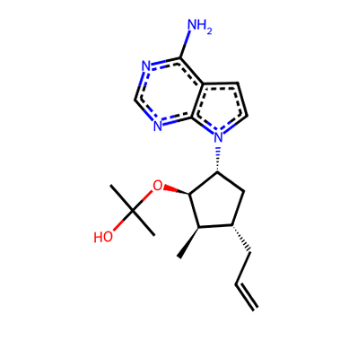 C=CC[C@H]1C[C@@H](n2ccc3c(N)ncnc32)[C@H](OC(C)(C)O)[C@@H]1C